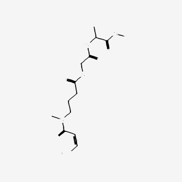 CCNC(=O)C(C)NC(=O)CNC(=O)CCCN(C)C(=O)/C=C\C=O